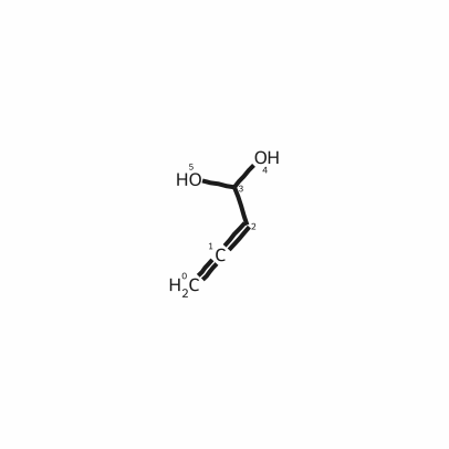 C=C=CC(O)O